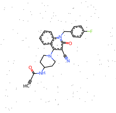 C#CC(=O)NC1CCN(c2c(C#N)c(=O)n(Cc3ccc(F)cc3)c3ccccc23)CC1